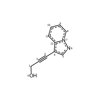 OCC#Cc1cnn2ccccc12